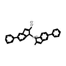 CC1=Cc2cc(-c3ccccc3)ccc2[CH]1[Hf+2][CH]1C(C)=Cc2cc(-c3ccccc3)ccc21.[Cl-].[Cl-]